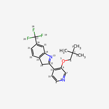 CC(C)(C)COc1cnccc1C1=Nc2cc(C(F)(F)F)ccc2C1